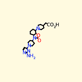 Nc1nccc(N2CCC(N3C(=O)OC4C(N5CCC(CC(=O)O)CC5)CCCC43)CC2)n1